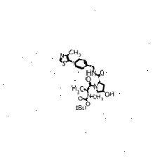 Cc1ncsc1-c1ccc(CNC(=O)[C@H]2C[C@H](O)CN2C(=O)[C@H](C)N(C)C(=O)OC(C)(C)C)cc1